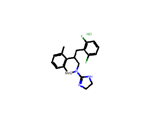 CON(CC(Cc1c(F)cccc1F)c1c(C)cccc1C)C1=NCCN1.Cl